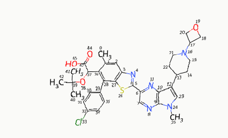 Cc1cc2nc(-c3cnc4c(n3)c(C3CCN(C5COC5)CC3)cn4C)sc2c(-c2ccc(Cl)cc2)c1C(OC(C)(C)C)C(=O)O